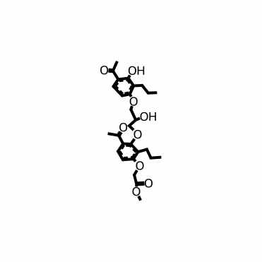 CCCc1c(OCC(O)COc2c(C(C)=O)ccc(OCC(=O)OC)c2CCC)ccc(C(C)=O)c1O